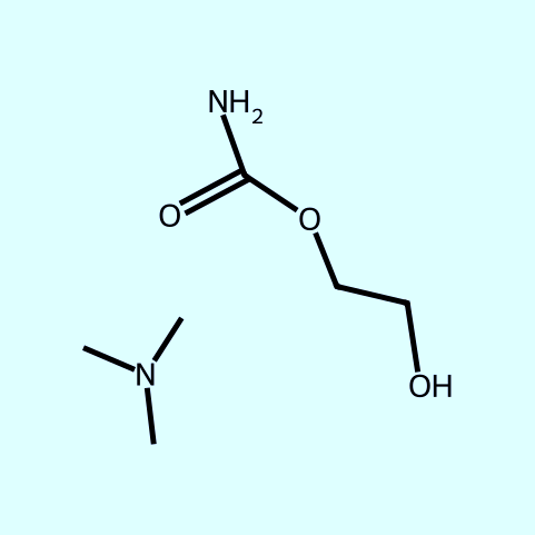 CN(C)C.NC(=O)OCCO